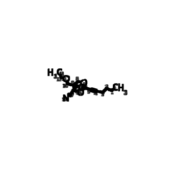 CCCCC#CC12OCC(COCC)(CO1)C(C#N)O2